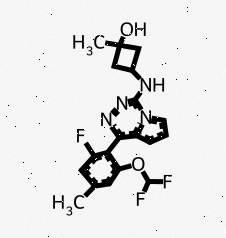 Cc1cc(F)c(-c2nnc(NC3CC(C)(O)C3)n3cccc23)c(OC(F)F)c1